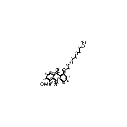 CCOCCOCCOCCOc1cccc2c1[n+]([O-])c1cccc(OC)c1[n+]2[O-]